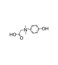 C[N+](C)(CC(=O)O)c1ccc(O)cc1